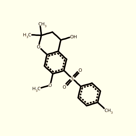 COc1cc2c(cc1S(=O)(=O)c1ccc(C)cc1)C(O)CC(C)(C)O2